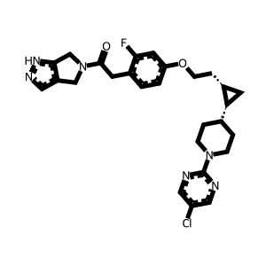 O=C(Cc1ccc(OCC[C@@H]2C[C@@H]2C2CCN(c3ncc(Cl)cn3)CC2)cc1F)N1Cc2cn[nH]c2C1